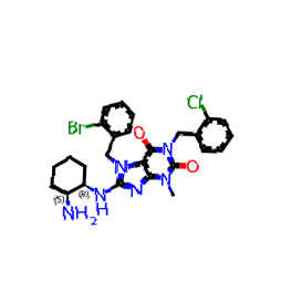 Cn1c(=O)n(Cc2ccccc2Cl)c(=O)c2c1nc(N[C@@H]1CCCC[C@@H]1N)n2Cc1ccccc1Br